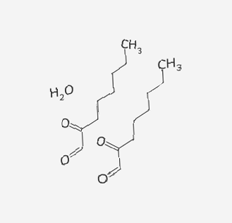 CCCCCCC(=O)C=O.CCCCCCC(=O)C=O.O